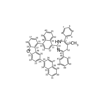 CC1=C(c2ccccc2)NC(c2ccc(-c3cccc4oc5ccc(-c6ccc7ccccc7c6)cc5c34)c3ccccc23)N=C(c2ccccc2)C1